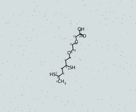 CC(S)CCC(S)CCOCCOCC(=O)O